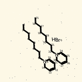 Br.CCCCCCCCN1C=CC=CC1.CCCCCCCCN1C=CC=CC1